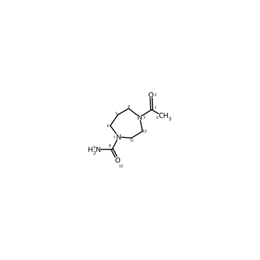 CC(=O)N1CCCN(C(N)=O)CC1